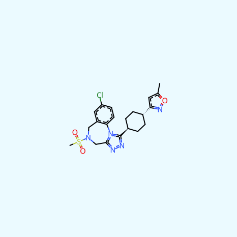 Cc1cc([C@H]2CC[C@H](c3nnc4n3-c3ccc(Cl)cc3CN(S(C)(=O)=O)C4)CC2)no1